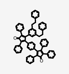 O=C1C(c2ccccc2)=C(c2ccccc2)C(c2ccc(C3=C(c4ccccc4)C(=O)C(c4ccccc4)=C3c3cc(CCc4ccccc4)cc(CCc4ccccc4)c3)cc2)=C1c1ccccc1